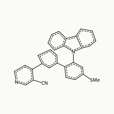 CSc1ccc(-c2cccc(-c3ccncc3C#N)c2)c(-n2c3ccccc3c3ccccc32)c1